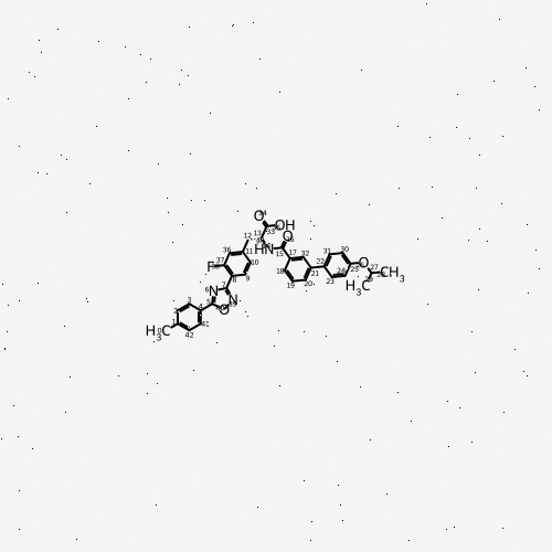 Cc1ccc(-c2nc(-c3ccc(C[C@@H](NC(=O)c4cccc(-c5ccc(OC(C)C)cc5)c4)C(=O)O)cc3F)no2)cc1